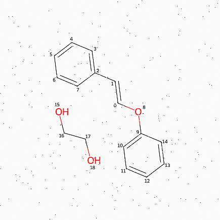 C(=Cc1ccccc1)Oc1ccccc1.OCCO